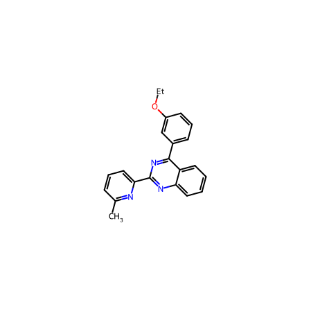 CCOc1cccc(-c2nc(-c3cccc(C)n3)nc3ccccc23)c1